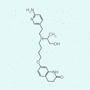 C[C@@H](CO)N(CCCCOc1ccc2c(c1)NC(=O)CC2)CCc1ccc(N)nc1